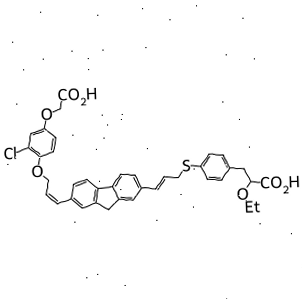 CCOC(Cc1ccc(SC/C=C/c2ccc3c(c2)Cc2cc(/C=C\COc4ccc(OCC(=O)O)cc4Cl)ccc2-3)cc1)C(=O)O